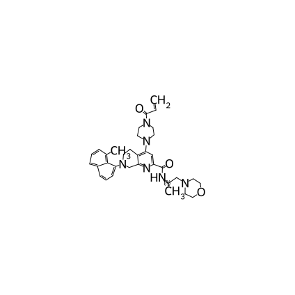 C=CC(=O)N1CCN(c2cc(C(=O)N[C@H](C)CN3CCOCC3)nc3c2CCN(c2cccc4cccc(C)c24)C3)CC1